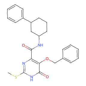 CSc1nc(C(=O)NC2CCCC(c3ccccc3)C2)c(OCc2ccccc2)c(=O)[nH]1